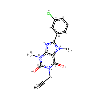 C#CCn1c(=O)c2c(nc(-c3cccc(Cl)c3)n2C)n(C)c1=O